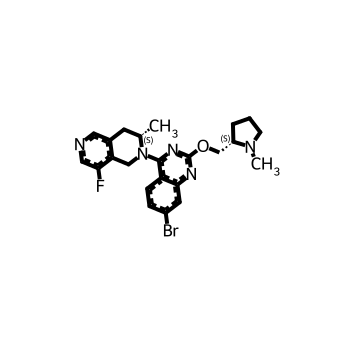 C[C@H]1Cc2cncc(F)c2CN1c1nc(OC[C@@H]2CCCN2C)nc2cc(Br)ccc12